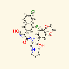 O=C(NC(CN1CCCC1)C(O)c1cc(F)c2c(c1)OCCO2)/C(=N/O)c1ccc2cc(Cl)ccc2c1